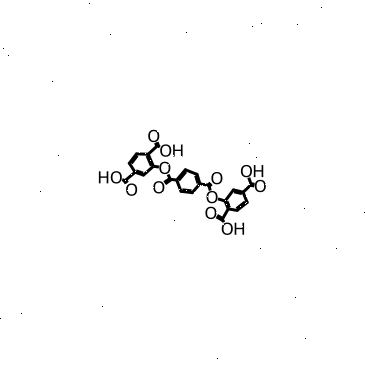 O=C(O)c1ccc(C(=O)O)c(OC(=O)c2ccc(C(=O)Oc3cc(C(=O)O)ccc3C(=O)O)cc2)c1